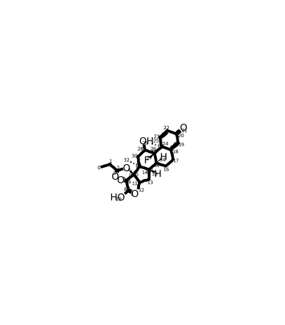 CCC(=O)O[C@]1(C(=O)C(=O)O)C(C)C[C@H]2[C@@H]3CCC4=CC(=O)C=C[C@]4(C)[C@@]3(F)C(O)C[C@@]21C